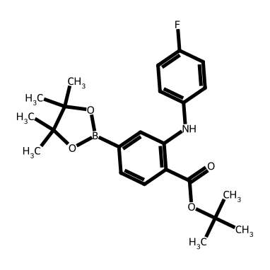 CC(C)(C)OC(=O)c1ccc(B2OC(C)(C)C(C)(C)O2)cc1Nc1ccc(F)cc1